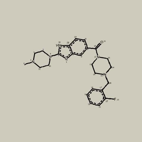 CN1CCN(c2nc3cc(C(=O)N4CCN(Cc5ccccc5F)CC4)ccc3[nH]2)CC1